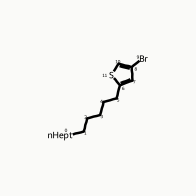 CCCCCCCCCCCCc1cc(Br)cs1